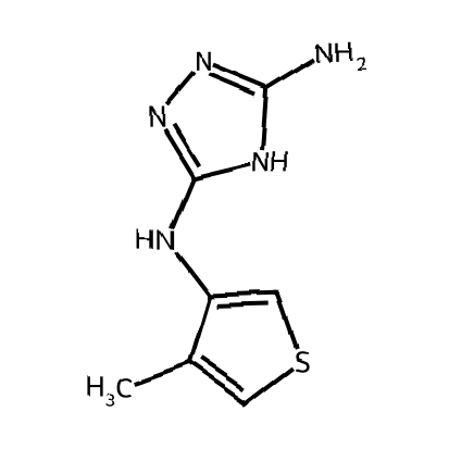 Cc1cscc1Nc1nnc(N)[nH]1